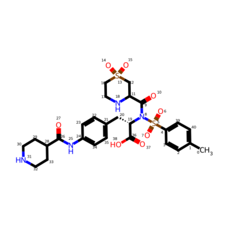 Cc1ccc(S(=O)(=O)N(C(=O)C2CS(=O)(=O)CCN2)[C@@H](Cc2ccc(NC(=O)C3CCNCC3)cc2)C(=O)O)cc1